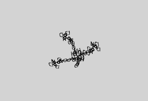 CN1Cc2c(Cl)cc(Cl)cc2C(c2ccc3c(c2)C(=O)N(CCOCCOCCNC(=O)CCC(CCC(=O)NCCOCCOCCN2Cc4ccc(C5CN(C)Cc6c(Cl)cc(Cl)cc65)cc4C2=O)(CCC(=O)NCCOCCOCCN2Cc4ccc(C5CN(C)Cc6c(Cl)cc(Cl)cc65)cc4C2=O)NC(=O)NCCN2CCOCC2)C3)C1